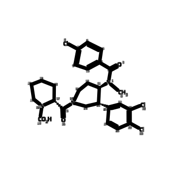 CN(C(=O)c1ccc(Cl)cc1)[C@@H]1CCN(C(=O)[C@H]2CCCCN2C(=O)O)C[C@H]1c1ccc(Cl)c(Cl)c1